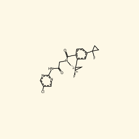 O=C(CN1C[C@@]2(C[C@H]2F)c2cc(C3(F)CC3)ccc2C1=O)Nc1ncc(Cl)cn1